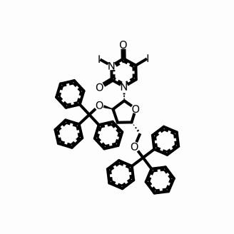 O=c1c(I)cn([C@@H]2O[C@H](COC(c3ccccc3)(c3ccccc3)c3ccccc3)C[C@H]2OC(c2ccccc2)(c2ccccc2)c2ccccc2)c(=O)n1I